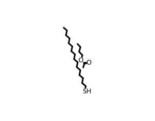 CCCCCCCCCCCCCCCCS.CCCCOC(C)=O